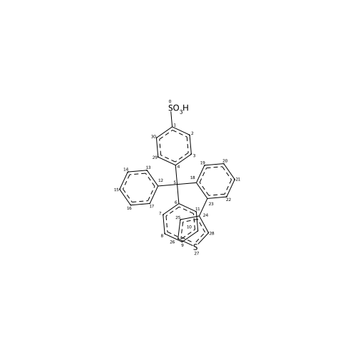 O=S(=O)(O)c1ccc(C(c2ccccc2)(c2ccccc2)c2ccccc2-c2ccsc2)cc1